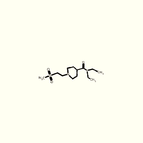 CCN(CC)C(=O)C1CCN(CCS(C)(=O)=O)CC1